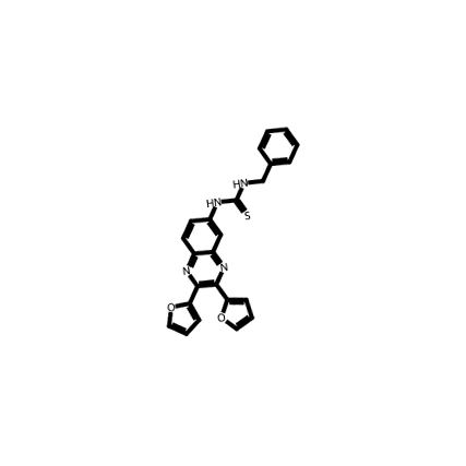 S=C(NCc1ccccc1)Nc1ccc2nc(-c3ccco3)c(-c3ccco3)nc2c1